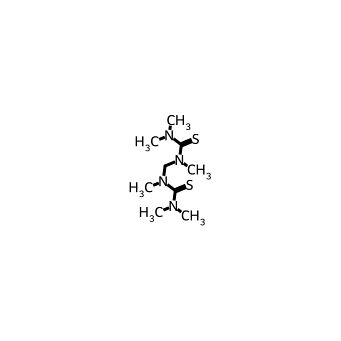 CN(C)C(=S)N(C)CN(C)C(=S)N(C)C